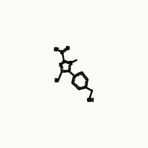 Cn1c([N+](=O)[O-])nc(Br)c1-c1ccc(CO)cc1